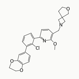 COc1nc(-c2cccc(-c3ccc4c(c3)OCCO4)c2Cl)ccc1CN1CC2(CCOC2)C1